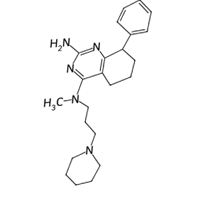 CN(CCCN1CCCCC1)c1nc(N)nc2c1CCCC2c1ccccc1